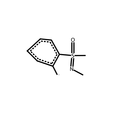 [CH2]c1ccccc1S(C)(=O)=NC